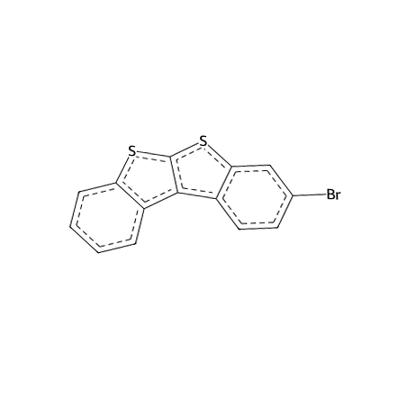 Brc1ccc2c(c1)sc1sc3ccccc3c12